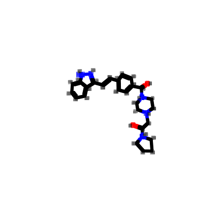 O=C(CN1CCN(C(=O)c2ccc(C=Cc3n[nH]c4ccccc34)cc2)CC1)N1CCCC1